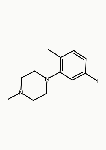 Cc1ccc(I)cc1N1CCN(C)CC1